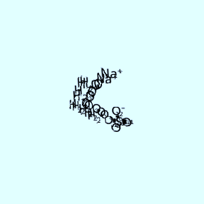 O.O.O.O.O.O.O.O.O.O=S(=O)([O-])[O-].[Na+].[Na+]